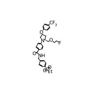 CCS(=O)(=O)c1ccc(CNC(=O)c2ccc(N3C[C@H](Oc4ccc(C(F)(F)F)cc4)C[C@H]3COCCF)cc2)cc1